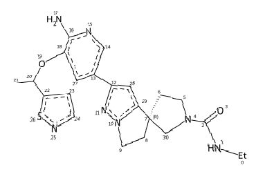 CCNC(=O)N1CC[C@@]2(CCn3nc(-c4cnc(N)c(OC(C)c5ccns5)c4)cc32)C1